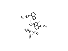 COc1cc(C(=O)N2C[C@H](N)C[C@@H](F)C2)cn2nc(-c3cc4cccc(C5CN(C(C)=O)C5)c4n3CC3CCC3)c(C)c12